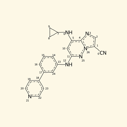 N#Cc1cnc2c(NC3CC3)cc(Nc3cccc(-c4ccncc4)c3)nn12